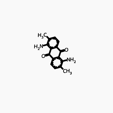 Cc1ccc2c(c1N)C(=O)c1ccc(C)c(N)c1C2=O